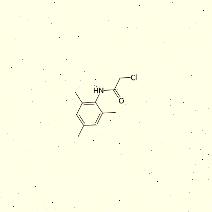 Cc1cc(C)c(NC(=O)CCl)c(C)c1